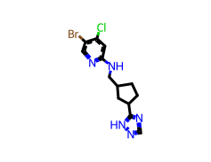 Clc1cc(NCC2CCC(c3ncn[nH]3)C2)ncc1Br